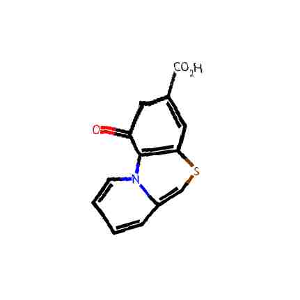 O=C(O)C1=CC2=C(C(=O)C1)N1C=CC=CC1=CS2